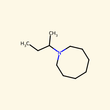 CCC(C)N1CCCCCCC1